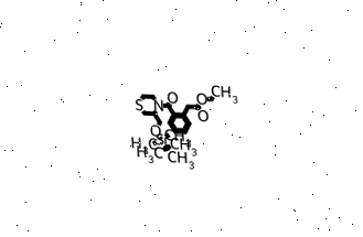 CCOC(=O)Cc1ccccc1C(=O)N1CCSCC1CO[Si](C)(C)C(C)(C)C